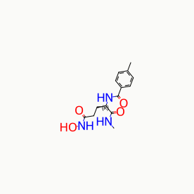 CNC(=O)[C@@H](CCC(=O)NO)NC(=O)c1ccc(C)cc1